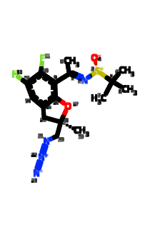 CC(=N[S@+]([O-])C(C)(C)C)c1c(F)c(F)cc2c1O[C@@](C)(CN=[N+]=[N-])C2